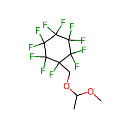 COC(C)OCC1(F)C(F)(F)C(F)(F)C(F)(F)C(F)(F)C1(F)F